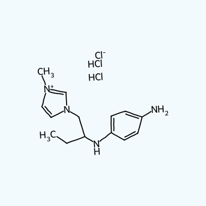 CCC(Cn1cc[n+](C)c1)Nc1ccc(N)cc1.Cl.Cl.[Cl-]